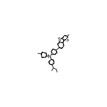 CCC(C)c1ccc(N(c2ccc(C)cc2)c2ccc(-c3ccc4c(c3)sc3cc(C)sc34)cc2)cc1